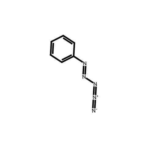 [N-]=[N+]=N/N=N/c1ccccc1